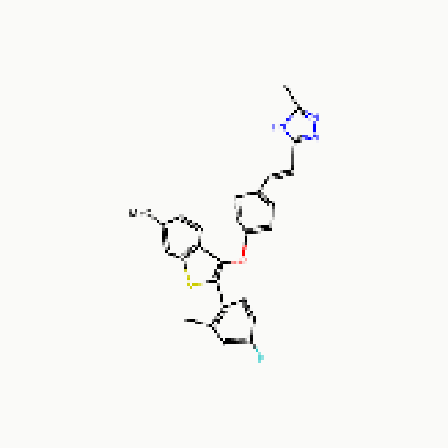 COc1ccc2c(Oc3ccc(C=Cc4nnc(C)[nH]4)cc3)c(-c3ccc(F)cc3C)sc2c1